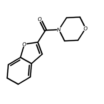 O=C(c1cc2c(o1)=CCCC=2)N1CCOCC1